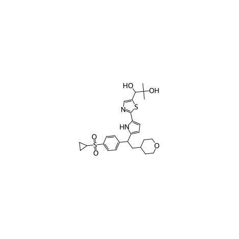 CC(C)(O)C(O)c1cnc(-c2ccc(C(CC3CCOCC3)c3ccc(S(=O)(=O)C4CC4)cc3)[nH]2)s1